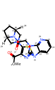 COC(=O)c1ncsc1N1C[C@H]2CC[C@@H](C1)N2C(=O)Cn1cnc2cccnc21